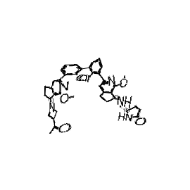 COc1nc(-c2cccc(-c3cccc(-c4cc5c(c(OC)n4)[C@@H](N4CC(C(C)=O)C4)CC5)c3Cl)c2Cl)cc2c1[C@@H](NC[C@@H]1CCC(=O)N1)CC2